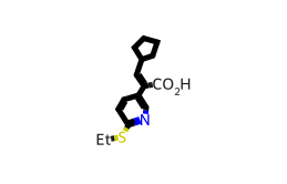 CCSc1ccc(C(=CC2CCCC2)C(=O)O)cn1